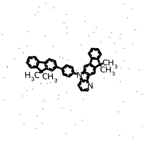 CC1(C)c2ccccc2-c2ccc(-c3ccc(-n4c5cc6c(cc5c5ncccc54)C(C)(C)c4ccccc4-6)cc3)cc21